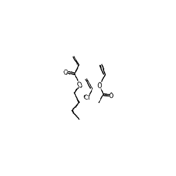 C=CC(=O)OCCCC.C=CCl.C=COC(C)=O